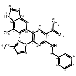 Cc1ccn(-c2nc(NCc3ccccc3)c(C(N)=O)nc2-c2cc(Cl)c3[nH]ncc3c2)n1